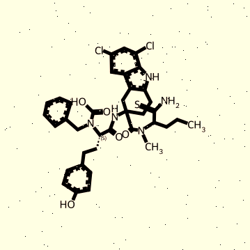 CCCC(C(N)=S)N(C)C(=O)C1(NC(=O)[C@H](CCc2ccc(O)cc2)N(Cc2ccccc2)C(=O)O)CCc2[nH]c3c(Cl)cc(Cl)cc3c2C1